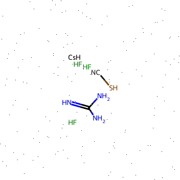 F.F.F.N#CS.N=C(N)N.[CsH]